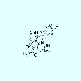 Cn1c(=O)c(C(N)=O)c(CC(O)O)c2ncc(Cc3ccc(F)cc3)cc21.[NaH]